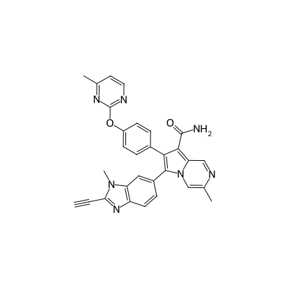 C#Cc1nc2ccc(-c3c(-c4ccc(Oc5nccc(C)n5)cc4)c(C(N)=O)c4cnc(C)cn34)cc2n1C